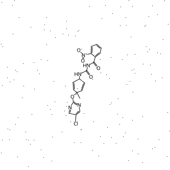 CC1(Oc2ncc(Cl)cn2)C=CC(NC(=O)NC(=O)c2ccccc2[N+](=O)[O-])C=C1